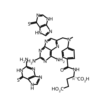 CN(Cc1cnc2nc(N)nc(N)c2n1)c1ccc(C(=O)N[C@@H](CCC(=O)O)C(=O)O)cc1.Nc1nc2nc[nH]c2c(=S)[nH]1.S=c1nc[nH]c2nc[nH]c12